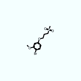 COc1cc(OCCCS(C)(=O)=O)ccc1Br